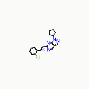 Clc1ccccc1/C=C/c1ncc2cnn(C3CCCC3)c2n1